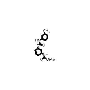 COC(=O)NC1CC=CC(OC(=O)NC2=CCCC(C)C2)C1